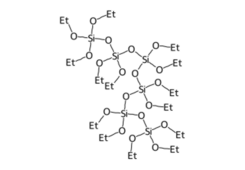 CCO[Si](OCC)(OCC)O[Si](OCC)(OCC)O[Si](OCC)(OCC)O[Si](OCC)(OCC)O[Si](OCC)(OCC)O[Si](OCC)(OCC)OCC